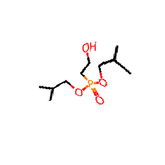 CC(C)COP(=O)(CCO)OCC(C)C